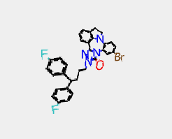 O=c1n(CCCC(c2ccc(F)cc2)c2ccc(F)cc2)nc2n1-c1cc(Br)ccc1N1CCc3cccc-2c31